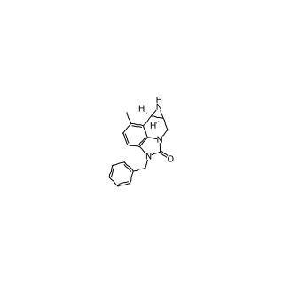 Cc1ccc2c3c1[C@H]1N[C@H]1Cn3c(=O)n2Cc1ccccc1